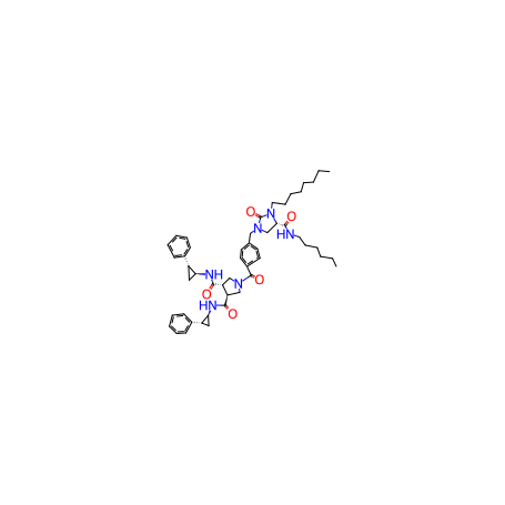 CCCCCCCCN1C(=O)N(Cc2ccc(C(=O)N3C[C@@H](C(=O)N[C@H]4C[C@@H]4c4ccccc4)[C@H](C(=O)N[C@H]4C[C@@H]4c4ccccc4)C3)cc2)C[C@H]1C(=O)NCCCCCC